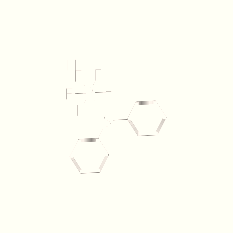 F[P-](F)(F)(F)(F)F.[H+].c1ccc(Sc2ccccc2)cc1